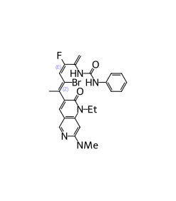 C=C(NC(=O)Nc1ccccc1)/C(F)=C\C(Br)=C(/C)c1cc2cnc(NC)cc2n(CC)c1=O